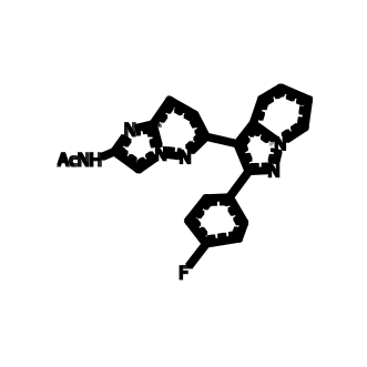 CC(=O)Nc1cn2nc(-c3c(-c4ccc(F)cc4)nn4ccccc34)ccc2n1